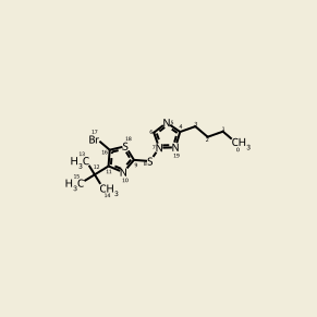 CCCCc1ncn(Sc2nc(C(C)(C)C)c(Br)s2)n1